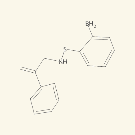 Bc1ccccc1SNCC(=C)c1ccccc1